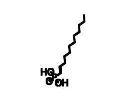 CCCCCCCCCCC=CP(=O)(O)O